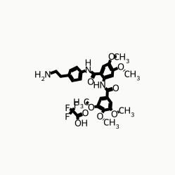 COc1cc(NC(=O)c2cc(OC)c(OC)c(OC)c2)c(C(=O)Nc2ccc(CCN)cc2)cc1OC.O=C(O)C(F)(F)F